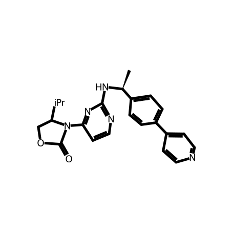 CC(C)C1COC(=O)N1c1ccnc(N[C@@H](C)c2ccc(-c3ccncc3)cc2)n1